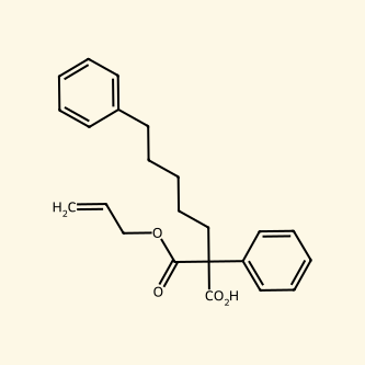 C=CCOC(=O)C(CCCCCc1ccccc1)(C(=O)O)c1ccccc1